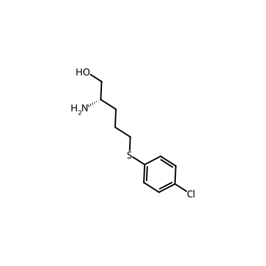 N[C@H](CO)CCCSc1ccc(Cl)cc1